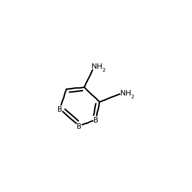 Nc1bbbcc1N